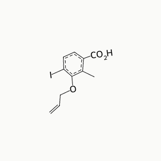 C=CCOc1c(I)ccc(C(=O)O)c1C